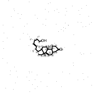 C[C@H](C=C[C@H](C)[C@H](C)CO)[C@H]1CC[C@H]2C3=CCC4CC(=O)CC[C@]4(C)[C@H]3CC[C@]12C